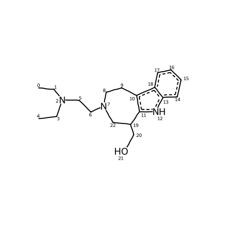 CCN(CC)CCN1CCc2c([nH]c3ccccc23)C(CO)C1